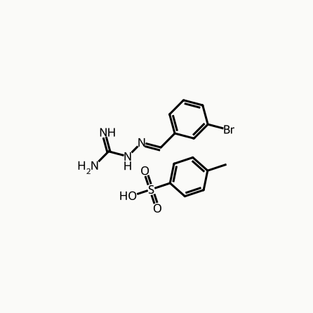 Cc1ccc(S(=O)(=O)O)cc1.N=C(N)NN=Cc1cccc(Br)c1